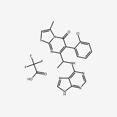 Cc1csc2nc(C(C)Nc3ncnc4[nH]cnc34)c(-c3ccccc3Cl)c(=O)n12.O=C(O)C(F)(F)F